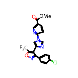 COC(=O)c1ccc(-n2cnc(-c3c(-c4ccc(Cl)cc4)noc3C(F)(F)F)c2)nc1